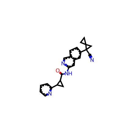 N#CC1(c2ccc3cnc(NC(=O)C4CC4c4ccccn4)cc3c2)CC12CC2